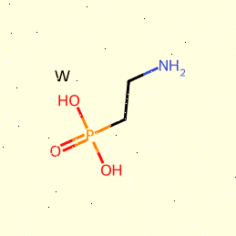 NCCP(=O)(O)O.[W]